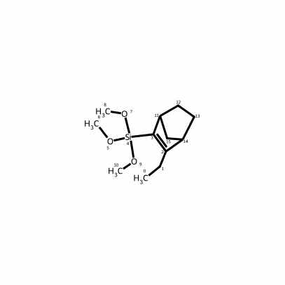 CCC1=C([Si](OC)(OC)OC)C2CCC1C2